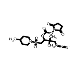 CC1CCN(S(=O)(=O)CC(OC(=O)ON2C(=O)CCC2=O)C(C)(C)CN=[N+]=[N-])CC1